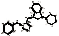 C(=C1CC(C2CCCCC2)c2ccccc21)c1cncn1Cc1ccccc1